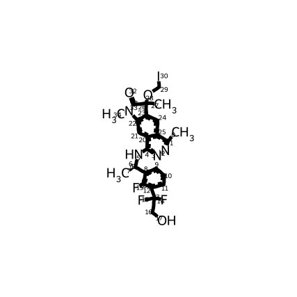 Cc1nnc(N[C@H](C)c2cccc(C(F)(F)CO)c2F)c2cc3c(cc12)C(C)(OCI)C(=O)N3C